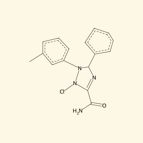 Cc1cccc(N2C(c3ccccc3)N=C(C(N)=O)N2Cl)c1